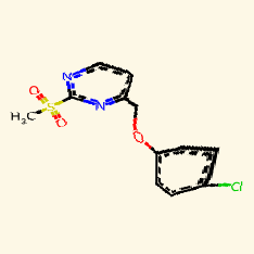 CS(=O)(=O)c1nccc(COc2ccc(Cl)cc2)n1